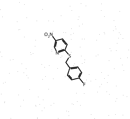 O=[N+]([O-])c1ccc(SCc2ccc(F)cc2)nc1